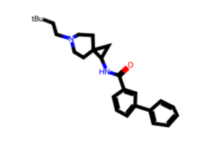 CC(C)(C)CCN1CCC2(CC1)CC2NC(=O)c1cccc(-c2ccccc2)c1